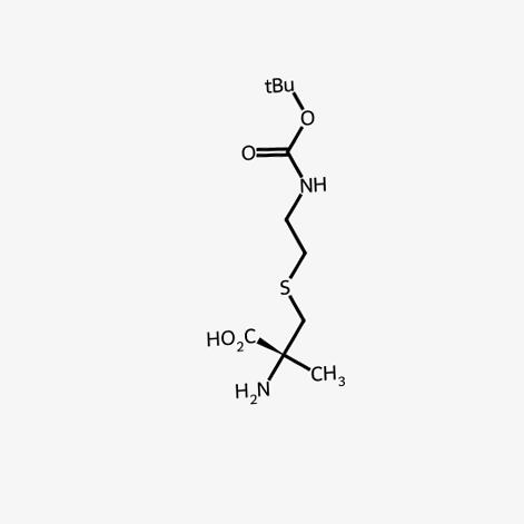 CC(C)(C)OC(=O)NCCSC[C@](C)(N)C(=O)O